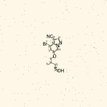 CC(COc1cc(Br)c2c(C#N)cnn2c1)CSO